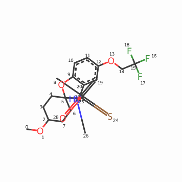 COC1CCC2(CC1)Oc1ccc(OCC(F)(F)F)cc1C21NC(=S)N(C)C1=O